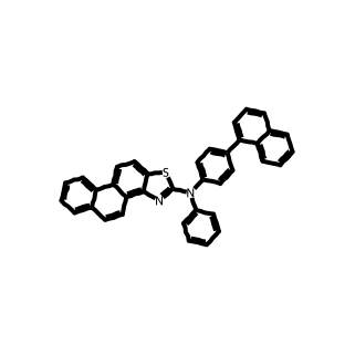 c1ccc(N(c2ccc(-c3cccc4ccccc34)cc2)c2nc3c(ccc4c5ccccc5ccc43)s2)cc1